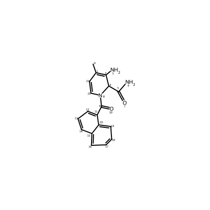 CC1=C(N)C(C(N)=O)N(C(=O)c2cccc3ccccc23)C=C1